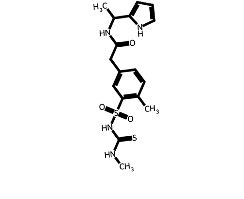 CNC(=S)NS(=O)(=O)c1cc(CC(=O)NC(C)c2ccc[nH]2)ccc1C